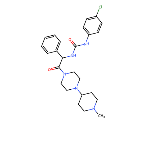 CN1CCC(N2CCN(C(=O)C(NC(=O)Nc3ccc(Cl)cc3)c3ccccc3)CC2)CC1